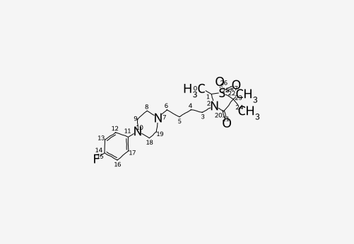 CC1N(CCCCN2CCN(c3ccc(F)cc3)CC2)C(=O)C(C)(C)S1(=O)=O